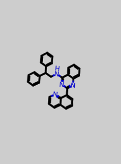 c1ccc(C(CNc2nc(-c3cccc4cccnc34)nc3ccccc23)c2ccccc2)cc1